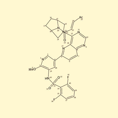 COc1ncc(-c2ccc3ncnc(N4CC5CCC(C4)N5C(=O)/C=C/C(C)=O)c3n2)cc1NS(=O)(=O)c1c(F)cccc1F